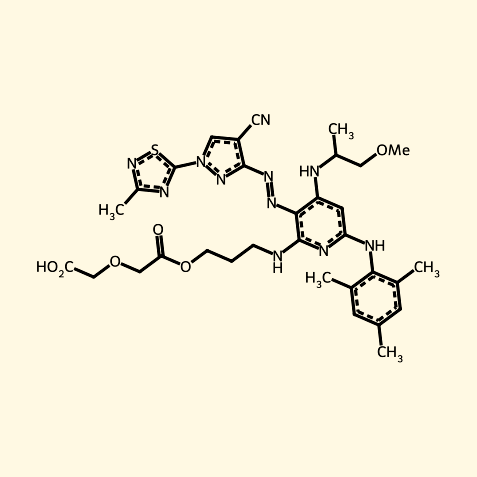 COCC(C)Nc1cc(Nc2c(C)cc(C)cc2C)nc(NCCCOC(=O)COCC(=O)O)c1N=Nc1nn(-c2nc(C)ns2)cc1C#N